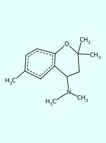 Cc1ccc2c(c1)C(N(C)C)CC(C)(C)O2